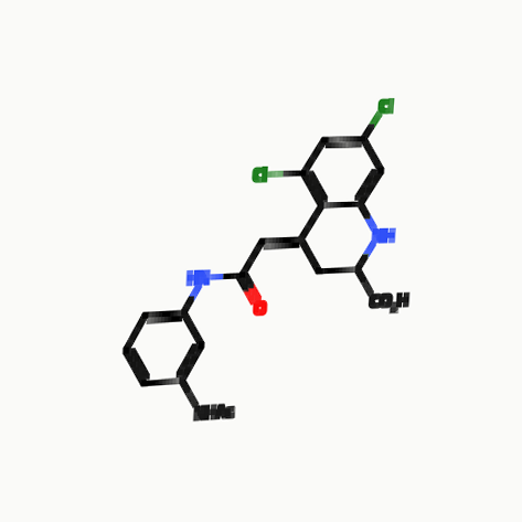 CC(=O)Nc1cccc(NC(=O)C=C2CC(C(=O)O)Nc3cc(Cl)cc(Cl)c32)c1